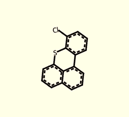 Clc1cccc2c1Sc1cccc3cccc-2c13